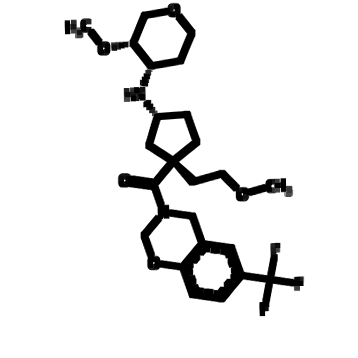 COCC[C@]1(C(=O)N2COc3ccc(C(F)(F)F)cc3C2)CC[C@@H](N[C@H]2CCOC[C@H]2OC)C1